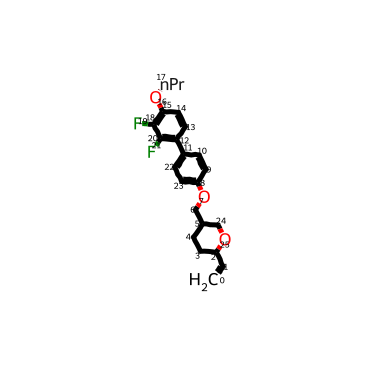 C=CC1CCC(COc2ccc(-c3ccc(OCCC)c(F)c3F)cc2)CO1